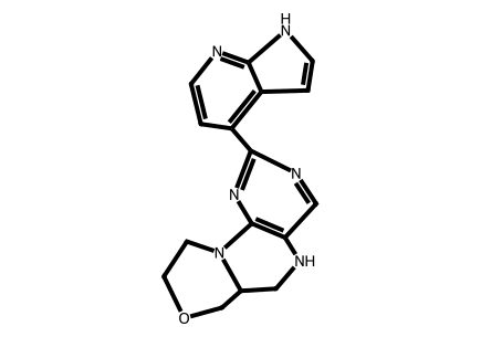 c1cc(-c2ncc3c(n2)N2CCOCC2CN3)c2cc[nH]c2n1